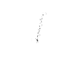 CC(C)CCCOCCOCCOCCOCCNC(C)C